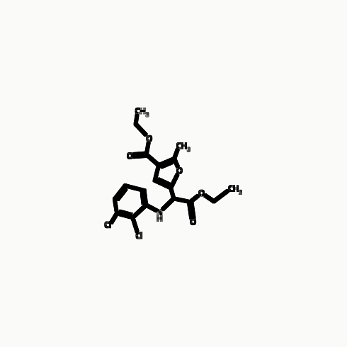 CCOC(=O)c1cc(C(Nc2cccc(Cl)c2Cl)C(=O)OCC)oc1C